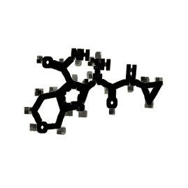 NC(=O)c1c(N(S)C(=O)NC2CC2)sc2c1CCOC2